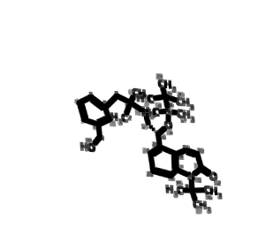 CC(C)(Cc1cccc(CO)c1)NC[C@H](O[Si](C)(C)C(C)(C)C)c1cc[c]c2c1ccc(=O)n2C(C)(C)C